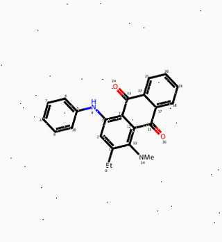 CCc1cc(Nc2ccccc2)c2c(c1NC)C(=O)c1ccccc1C2=O